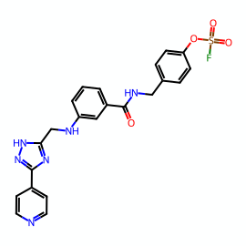 O=C(NCc1ccc(OS(=O)(=O)F)cc1)c1cccc(NCc2nc(-c3ccncc3)n[nH]2)c1